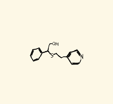 OCC(SCCc1ccncc1)c1ccccc1